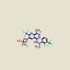 Cc1nnc(N[C@H](C)c2cccc(C(F)(F)F)c2F)c2cc(N3CC(C)(O)C3)c(C(F)(F)F)nc12